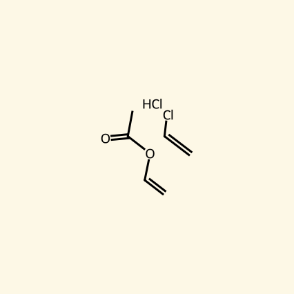 C=CCl.C=COC(C)=O.Cl